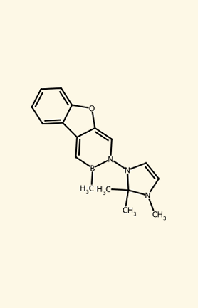 CB1C=c2c(oc3ccccc23)=CN1N1C=CN(C)C1(C)C